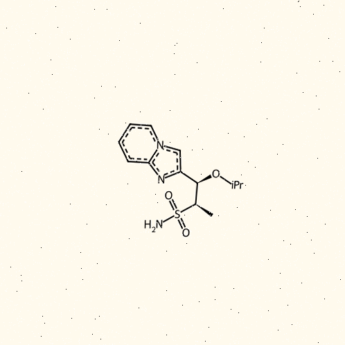 CC(C)O[C@H](c1cn2ccccc2n1)[C@@H](C)S(N)(=O)=O